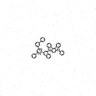 c1ccc(-c2cccc(-c3cc(-c4ccccc4)nc(-c4cc(-n5c6ccccc6c6c7c8ccccc8n(-c8ccccc8)c7ccc65)c5ccccc5c4)n3)c2)cc1